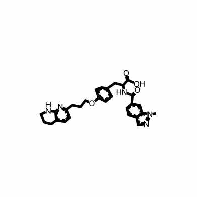 Cn1ncc2ccc(C(=O)NC(Cc3ccc(OCCCc4ccc5c(n4)NCCC5)cc3)C(=O)O)cc21